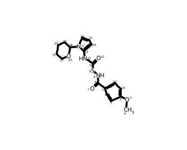 COc1ccc(C(=O)NSC(=O)Nc2cccn2C2CCCCO2)cc1